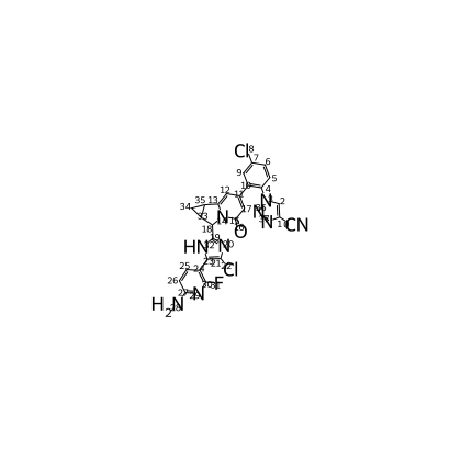 N#Cc1cn(-c2ccc(Cl)cc2-c2cc3n(c(=O)c2)C(c2nc(Cl)c(-c4ccc(N)nc4F)[nH]2)C2CC32)nn1